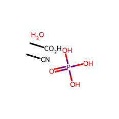 CC#N.CC(=O)O.O.O=P(O)(O)O